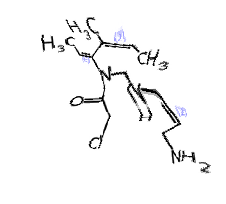 C/C=C(C)\C(=C/C)N(CN/C=C\CN)C(=O)CCl